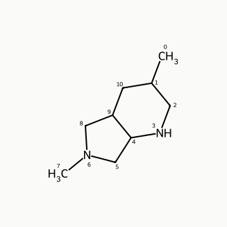 CC1CNC2CN(C)CC2C1